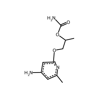 Cc1cc(N)cc(OCC(C)OC(N)=O)n1